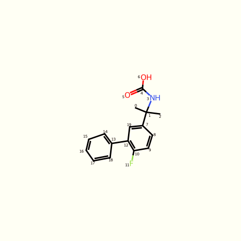 CC(C)(NC(=O)O)c1ccc(F)c(-c2ccccc2)c1